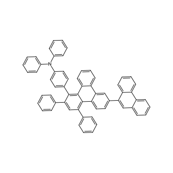 c1ccc(-c2cc(-c3ccccc3)c3c4ccc(-c5cc6ccccc6c6ccccc56)cc4c4ccccc4c3c2-c2ccc(N(c3ccccc3)c3ccccc3)cc2)cc1